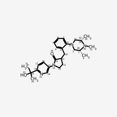 C[C@@H]1CN(c2ccccc2CC2CCN(c3ccc(C(C)(C)O)nc3)C2=O)C[C@H](C)N1C